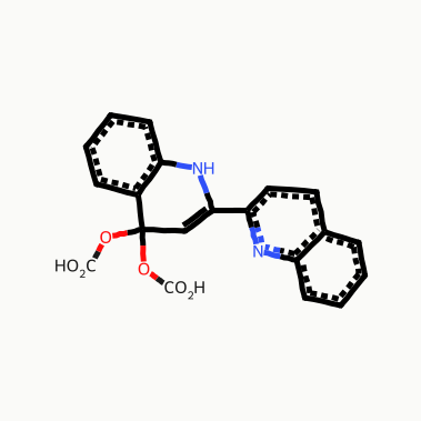 O=C(O)OC1(OC(=O)O)C=C(c2ccc3ccccc3n2)Nc2ccccc21